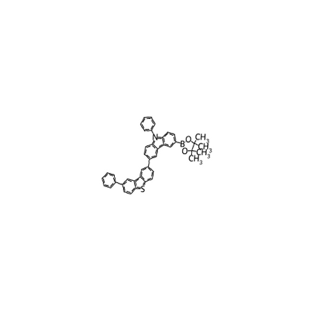 CC1(C)OB(c2ccc3c(c2)c2cc(-c4ccc5sc6ccc(-c7ccccc7)cc6c5c4)ccc2n3-c2ccccc2)OC1(C)C